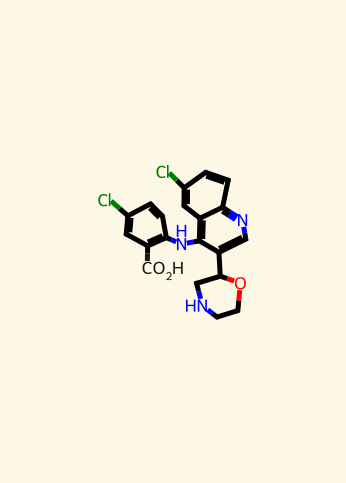 O=C(O)c1cc(Cl)ccc1Nc1c(C2CNCCO2)cnc2ccc(Cl)cc12